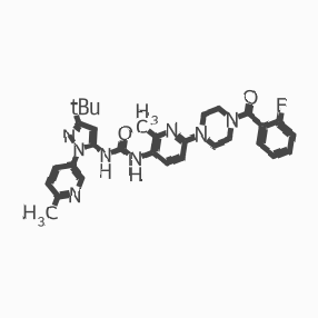 Cc1ccc(-n2nc(C(C)(C)C)cc2NC(=O)Nc2ccc(N3CCN(C(=O)c4ccccc4F)CC3)nc2C)cn1